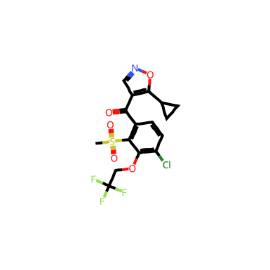 CS(=O)(=O)c1c(C(=O)c2cnoc2C2CC2)ccc(Cl)c1OCC(F)(F)F